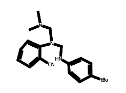 CN(C)CN(CNc1ccc(C(C)(C)C)cc1)c1ccccc1C#N